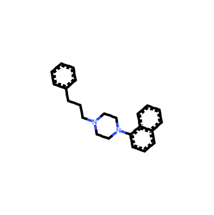 c1ccc(CCCN2CCN(c3cccc4ccccc34)CC2)cc1